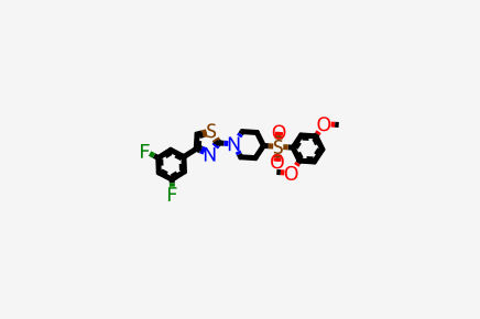 COc1ccc(OC)c(S(=O)(=O)C2CCN(c3nc(-c4cc(F)cc(F)c4)cs3)CC2)c1